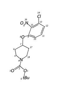 CC(C)(C)OC(=O)N1CCC(Oc2cccc(Cl)c2[N+](=O)[O-])CC1